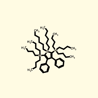 CCCCCC[Si]1(CCCCCC)[C]([Sn]([CH2]CCC)([CH2]CCC)[CH2]CCC)=C(c2ccccc2)C(c2ccccc2)=[C]1[Sn]([CH2]CCC)([CH2]CCC)[CH2]CCC